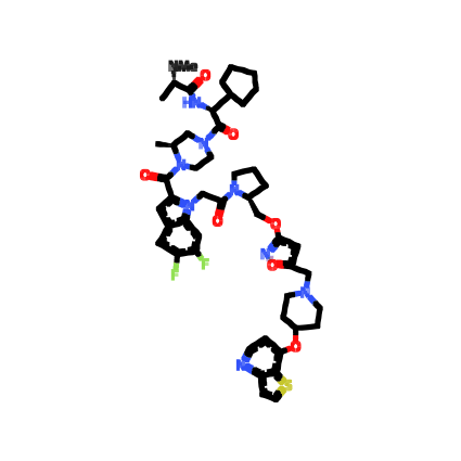 CN[C@@H](C)C(=O)N[C@H](C(=O)N1CCN(C(=O)c2cc3cc(F)c(F)cc3n2CC(=O)N2CCC[C@H]2COc2cc(CN3CCC(Oc4ccnc5ccsc45)CC3)on2)[C@@H](C)C1)C1CCCCC1